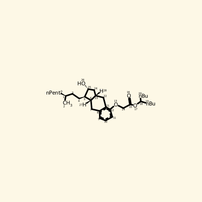 CCCCC[C@H](C)CC[C@@H]1[C@H]2Cc3cccc(OCC(=O)OC(CCCC)CCCC)c3C[C@H]2C[C@H]1O